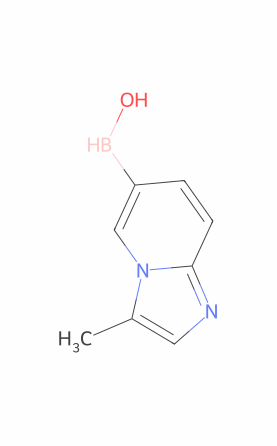 Cc1cnc2ccc(BO)cn12